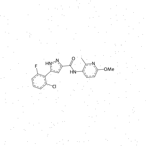 COc1ccc(NC(=O)c2cc(-c3c(F)cccc3Cl)[nH]n2)c(C)n1